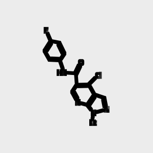 CCn1ncc2c(Cl)c(C(=O)Nc3ccc(F)cc3)cnc21